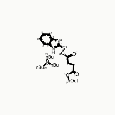 CCCCCCCCOC(=O)CCC(=O)OSc1nc2ccccc2[nH]1.CCCCN(CCCC)CCCC